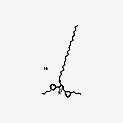 CCCCCCCCCCCCCCCCCCCCCCC#CC1=C(c2cccc(CCCC)c2)[N+](=[N-])C(c2cccc(CCCC)c2)=C1.[Ni]